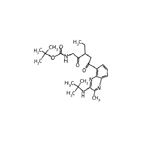 CCC(CC(=O)c1cccc2nc(C)c(NC(C)(C)C)nc12)C(=O)CNC(=O)OC(C)(C)C